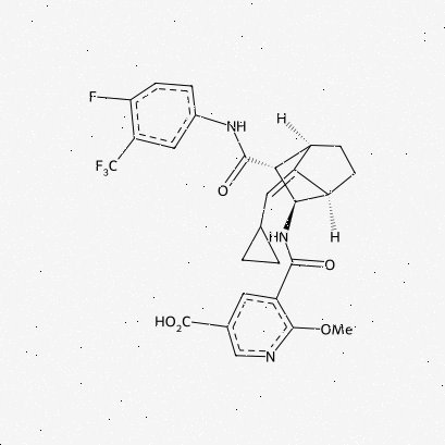 COc1ncc(C(=O)O)cc1C(=O)N[C@H]1[C@H](C(=O)Nc2ccc(F)c(C(F)(F)F)c2)[C@H]2CC[C@@H]1/C2=C\C1CC1